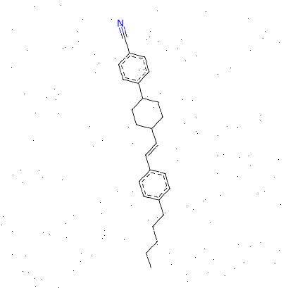 CCCCCc1ccc(C=CC2CCC(c3ccc(C#N)cc3)CC2)cc1